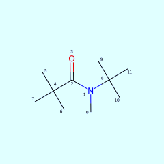 CN(C(=O)C(C)(C)C)C(C)(C)C